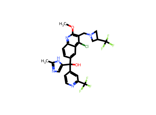 COc1nc2ccc(C(O)(c3ccnc(C(F)(F)F)c3)c3cnc(C)[nH]3)cc2c(Cl)c1CN1CC(C(F)(F)F)C1